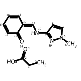 CCC(=O)O.Cn1ccc(NC=C2C=CC=CC2=O)n1